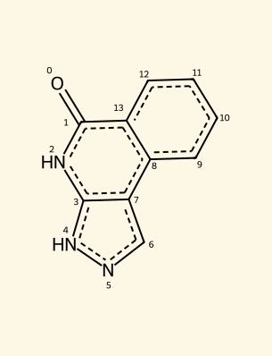 O=c1[nH]c2[nH]ncc2c2ccccc12